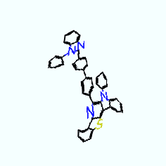 c1ccc(-n2c(-c3ccc(-c4ccc(-c5nc6c7ccccc7sc6c6c7ccccc7n(-c7ccccc7)c56)cc4)cc3)nc3ccccc32)cc1